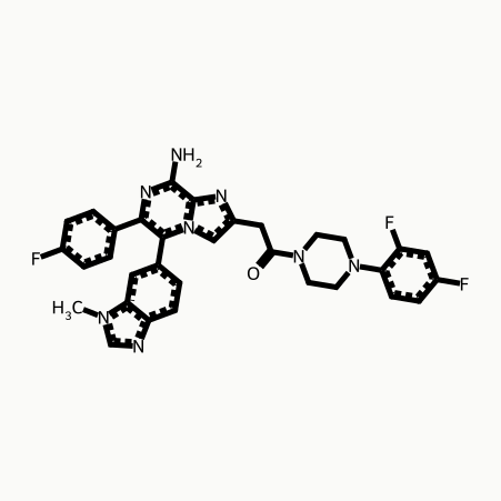 Cn1cnc2ccc(-c3c(-c4ccc(F)cc4)nc(N)c4nc(CC(=O)N5CCN(c6ccc(F)cc6F)CC5)cn34)cc21